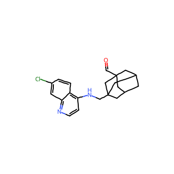 O=CC12CC3CC(C1)CC(CNc1ccnc4cc(Cl)ccc14)(C3)C2